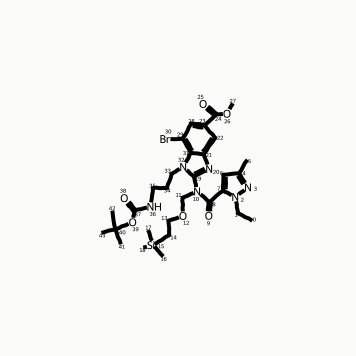 CCn1nc(C)cc1C(=O)N(COCC[Si](C)(C)C)c1nc2cc(C(=O)OC)cc(Br)c2n1CCCNC(=O)OC(C)(C)C